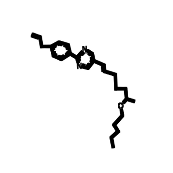 C=CCc1ccc(-c2ncc(C=CCCCC(C)OCCCCC)cn2)cc1